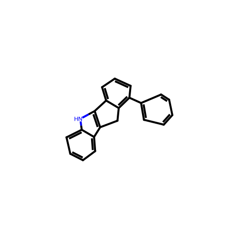 c1ccc(-c2cccc3c2Cc2c-3[nH]c3ccccc23)cc1